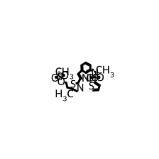 CN(c1cccc2cc(C3=NCC(C)(CCOS(C)(=O)=O)S3)[nH]c12)S(=O)(=O)c1cccs1